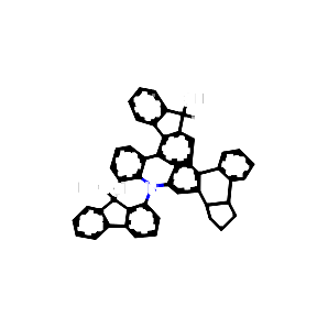 CC1(C)c2ccccc2-c2c(-c3ccccc3N(c3ccc4c(c3)C3CCCC3c3ccccc3-4)c3cccc4c3C(C)(C)c3ccccc3-4)cccc21